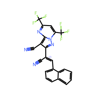 N#C/C(=C\c1cccc2ccccc12)c1nn2c(C(F)(F)F)cc(C(F)(F)F)nc2c1C#N